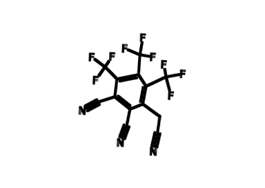 N#CCc1c(C#N)c(C#N)c(C(F)(F)F)c(C(F)(F)F)c1C(F)(F)F